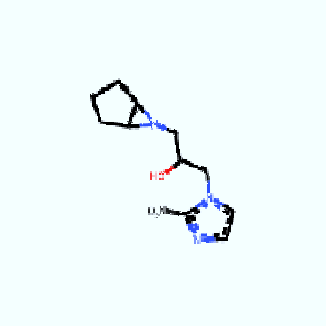 O=[N+]([O-])c1nccn1CC(O)CN1C2CCCC21